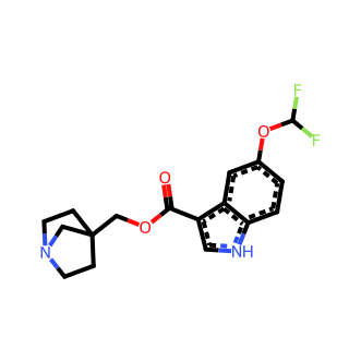 O=C(OCC12CCN(CC1)C2)c1c[nH]c2ccc(OC(F)F)cc12